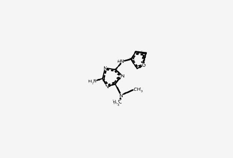 CN(C)c1nc(N)nc(Nc2ccoc2)n1